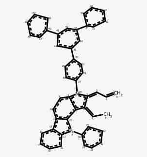 C=C/C=c1\c(=C/C)c2c(ccc3c4ccccc4n(-c4ccccc4)c32)n1-c1ccc(-c2cc(-c3ccccc3)cc(-c3ccccc3)c2)cc1